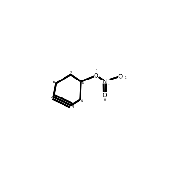 O=[N+]([O-])OC1CC#CCC1